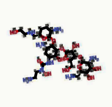 NCCN(O)C(=O)N[C@@H]1C[C@H](N)[C@@H](O[C@H]2O[C@H](CNCCO)CC[C@H]2N)[C@H](O[C@@H]2O[C@H](CO)[C@@H](O[C@H]3O[C@@H](CN)[C@@H](O)[C@H](O)[C@H]3N)[C@H]2O)[C@H]1O